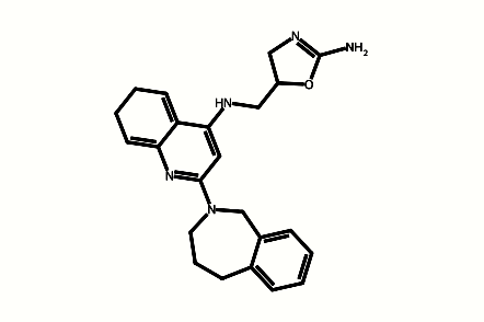 NC1=NCC(CNc2cc(N3CCCc4ccccc4C3)nc3c2=CCCC=3)O1